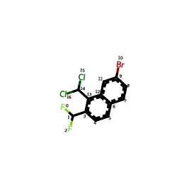 FC(F)c1ccc2ccc(Br)cc2c1C(Cl)Cl